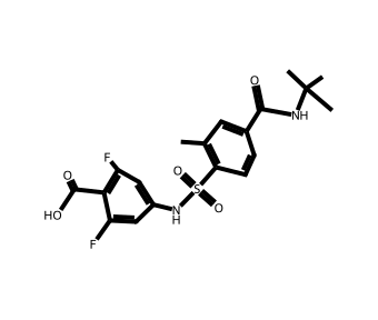 Cc1cc(C(=O)NC(C)(C)C)ccc1S(=O)(=O)Nc1cc(F)c(C(=O)O)c(F)c1